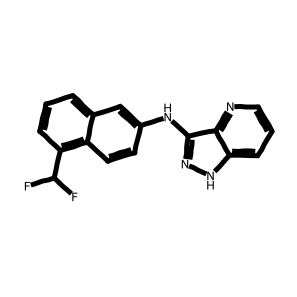 FC(F)c1cccc2cc(Nc3n[nH]c4cccnc34)ccc12